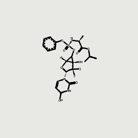 CC(C)OC(=O)[C@H](C)N[P@@](=O)(Oc1ccccc1)OC1[C@H]2O[C@@H](N3C=CC(O)NC3=O)[C@@](F)(Cl)[C@@]12O